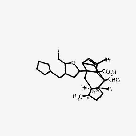 CC(C)C1=CC2CC3(C=O)[C@@H]4CC[C@@H](C)[C@H]4CC2(C2CC(CC4CCCC4)C(CI)O2)C13C(=O)O